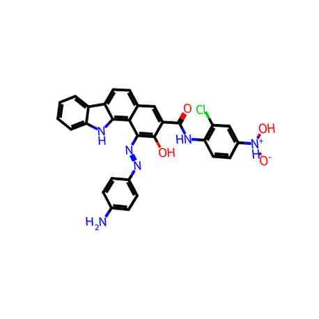 Nc1ccc(N=Nc2c(O)c(C(=O)Nc3ccc([NH+]([O-])O)cc3Cl)cc3ccc4c5ccccc5[nH]c4c23)cc1